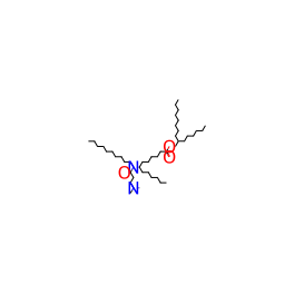 CCCCCCCCCCN(C(=O)CCN(C)C)C(CCCCCC)CCCCCC(=O)OCC(CCCCCC)CCCCCCCC